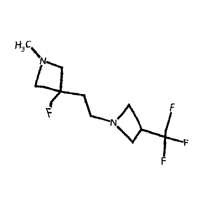 CN1CC(F)(CCN2CC(C(F)(F)F)C2)C1